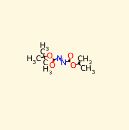 C=C(C)OC(=O)/N=N/C(=O)OC(C)(C)C